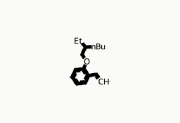 [CH]=Cc1cc[c]cc1OCC(CC)CCCC